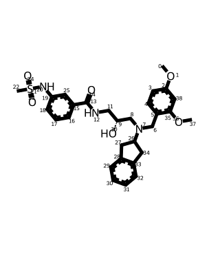 COc1ccc(CN(C[C@H](O)CNC(=O)c2cccc(NS(C)(=O)=O)c2)C2Cc3ccccc3C2)c(OC)c1